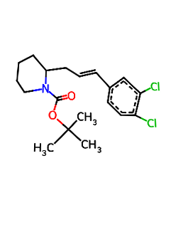 CC(C)(C)OC(=O)N1CCCCC1CC=Cc1ccc(Cl)c(Cl)c1